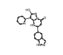 O=c1cc(-c2ccc3[nH]ncc3c2)[nH]c2c(-c3ccccn3)c(O)nn12